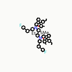 C=CC1=CC=C(C2(C3CC(C)=CC=C3C)C3=C(C=CCC3)C3C=CC(N(C4=CC(C5=C(CC)CCC(N(c6ccc(C7=CCCC(C8C=CC(F)=CC8)=C7)cc6)C6C=CC7=C(C6)C(C6=CCC(C=C)C=C6)(c6cc(C)ccc6C)c6ccccc67)=C5)C(SC)CC4)C4CC=C(C5CCC=C(C6=CCC(F)CC6)C5)CC4)=CC32)CC1